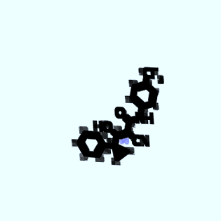 N#C/C(C(=O)Nc1ccc(C(F)(F)F)cc1)=C(/O)C1(c2ccccc2)CC1